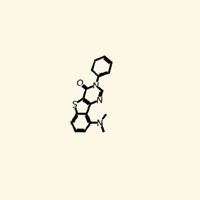 CN(C)c1cccc2sc3c(=O)n(C4=CC=CCC4)cnc3c12